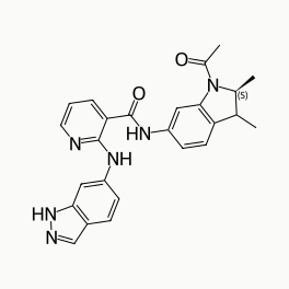 CC(=O)N1c2cc(NC(=O)c3cccnc3Nc3ccc4cn[nH]c4c3)ccc2C(C)[C@@H]1C